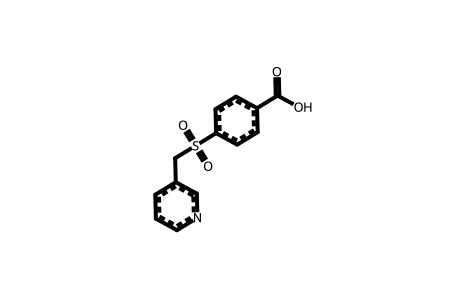 O=C(O)c1ccc(S(=O)(=O)Cc2cccnc2)cc1